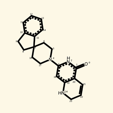 O=c1[nH]c(N2CCC3(CCc4ccccc43)CC2)cc2c1C=CCN2